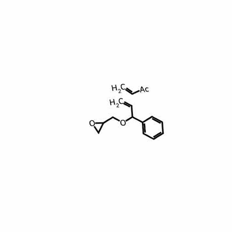 C=CC(C)=O.C=CC(OCC1CO1)c1ccccc1